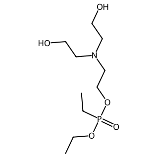 CCOP(=O)(CC)OCCN(CCO)CCO